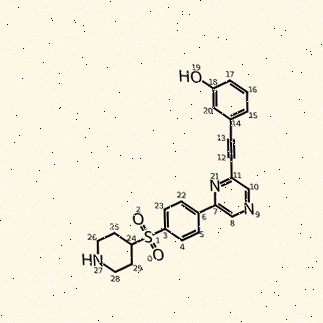 O=S(=O)(c1ccc(-c2cncc(C#Cc3cccc(O)c3)n2)cc1)C1CCNCC1